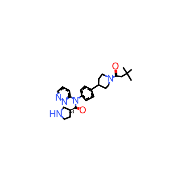 CC(C)(C)CC(=O)N1CCC(c2ccc(N(C(=O)[C@H]3CCNC3)c3cccnn3)cc2)CC1